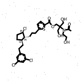 CC(=O)N(CCO)C(CO)(CO)COC(=O)c1ccc(CCC[C@@H]2[C@@H](CCc3cc(Cl)cc(Cl)c3)CC[C@H]2Cl)s1